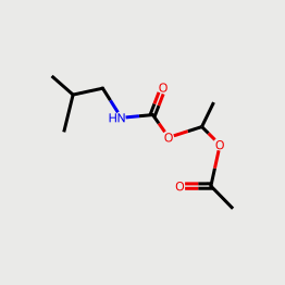 CC(=O)OC(C)OC(=O)NCC(C)C